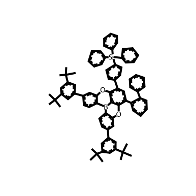 CC(C)(C)c1cc(-c2ccc3c(c2)Oc2c(-c4ccc([Si](c5ccccc5)(c5ccccc5)c5ccccc5)cc4)cc(-c4ccccc4-c4ccccc4)c4c2B3c2ccc(-c3cc(C(C)(C)C)cc(C(C)(C)C)c3)cc2O4)cc(C(C)(C)C)c1